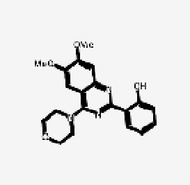 COc1cc2nc(-c3ccccc3O)nc(N3CCOCC3)c2cc1OC